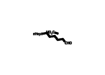 CC(=O)O.CCCCCCCCCCCCC=O